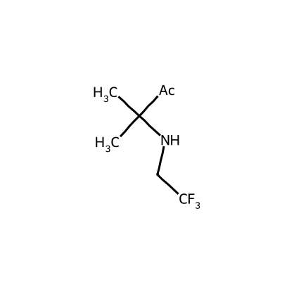 CC(=O)C(C)(C)NCC(F)(F)F